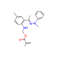 C=C(C)C(=O)OCNc1ccc(C)cc1/C(C)=N/N(C)c1ccccc1